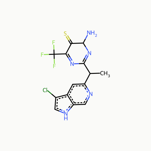 CC(C1=NC(N)C(=S)C(C(F)(F)F)=N1)c1cc2c(Cl)c[nH]c2cn1